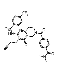 C#CCCn1c(N[C@@H](C)c2ccc(C(F)(F)F)cc2)nc2c(c1=O)CN(C(=O)c1ccc(C(=O)N(C)C)cc1)CC2